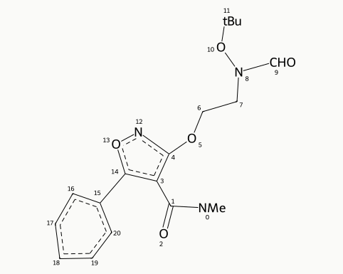 CNC(=O)c1c(OCCN(C=O)OC(C)(C)C)noc1-c1ccccc1